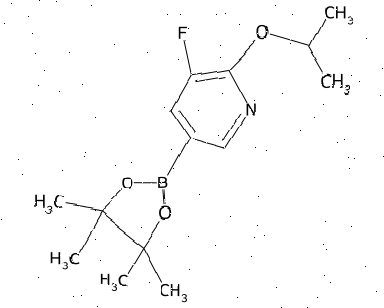 CC(C)Oc1ncc(B2OC(C)(C)C(C)(C)O2)cc1F